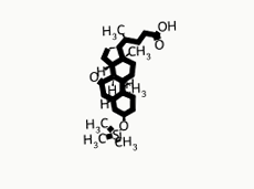 C[C@H](CCC(=O)O)[C@H]1CC[C@H]2[C@@H]3C(=O)C[C@@H]4C[C@H](O[Si](C)(C)C)CC[C@]4(C)[C@H]3CC[C@]12C